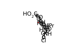 CC(C)C1=C2[C@H]3CC[C@@H]4[C@@]5(C)CC[C@H](OC(=O)[C@H]6C[C@@H](C(=O)O)C6(C)C)C(C)(C)[C@@H]5CC[C@@]4(C)[C@]3(C)CC[C@@]2(NC(=O)C(C)(C)NC(=O)c2ccc(Cl)cc2)CC1=O